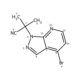 CC(C)(C#N)n1ncc2c(Br)ccnc21